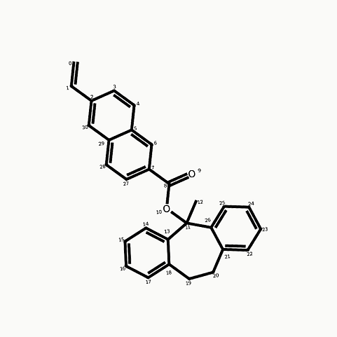 C=Cc1ccc2cc(C(=O)OC3(C)c4ccccc4CCc4ccccc43)ccc2c1